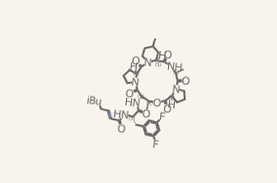 CCC(C)C/C=C/C(=O)N[C@@H](Cc1cc(F)cc(F)c1)C(=O)N[C@@H]1C(=O)N2CCC[C@H]2C(=O)N2CCC(C)C[C@H]2C(=O)N[C@@H](C)C(=O)N2CCC[C@H]2C(=O)O[C@H]1C